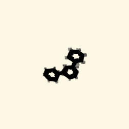 [c]1ccccc1-c1cccc(-c2ccccc2)c1